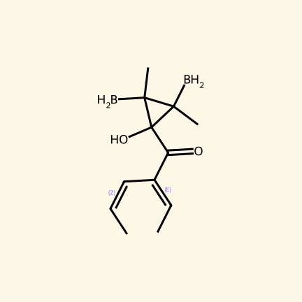 BC1(C)C(B)(C)C1(O)C(=O)C(/C=C\C)=C/C